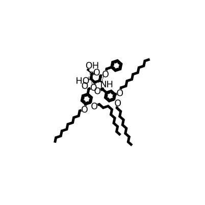 CCCCCCCCCCOc1ccc(C(=O)N[C@@H]2[C@@H](OCc3ccccc3)O[C@H](CO)[C@@H](O)[C@@H]2OC(=O)c2ccc(OCCCCCCCCCC)c(OCCCCCCCCCC)c2)cc1OCCCCCCCCCC